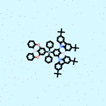 CC(C)(C)c1ccc2c(c1)c1cc(C(C)(C)C)cc3c1n2-c1cc([Si](c2ccccc2)(c2ccccc2)c2cc4c5c(c2)Oc2ccccc2B5c2ccccc2O4)cc2c1B3c1cc(C(C)(C)C)cc3c4cc(C(C)(C)C)ccc4n-2c13